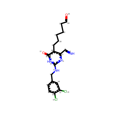 N=Cc1nc(NCc2ccc(Cl)c(Cl)c2)[nH]c(=O)c1CCCCCC=O